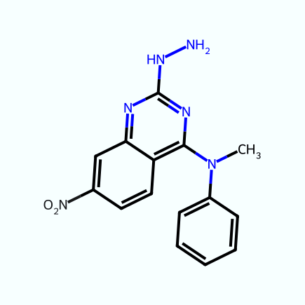 CN(c1ccccc1)c1nc(NN)nc2cc([N+](=O)[O-])ccc12